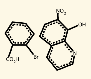 O=C(O)c1ccccc1Br.O=[N+]([O-])c1ccc2cccnc2c1O